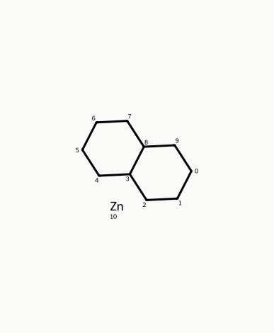 C1CCC2CCCCC2C1.[Zn]